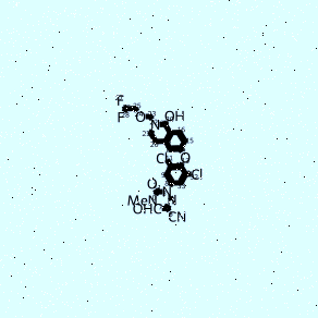 CNC(=O)N(/N=C(/C#N)C=O)c1cc(Cl)c(Oc2ccc3c(c2)CCN(COCC(F)F)C3O)c(Cl)c1